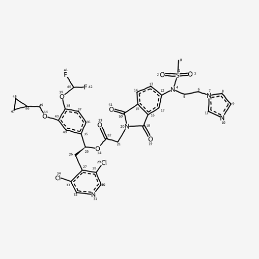 CS(=O)(=O)N(CCn1ccnc1)c1ccc2c(c1)C(=O)N(CC(=O)O[C@@H](Cc1c(Cl)cncc1Cl)c1ccc(OC(F)F)c(OCC3CC3)c1)C2=O